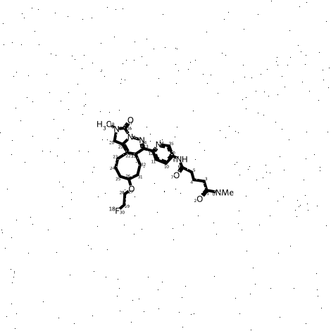 CNC(=O)CCCC(=O)Nc1ccc(C2=NN3C(=O)N(C)CC3=C3CCCC(OCC[18F])CCC23)nc1